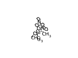 C=Cc1ccc(OC(CC)C(CC)C(=O)n2c3ccccc3c3ccc4c(c5ccccc5n4-c4ccccc4)c32)cc1